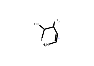 CC(/C=C\N)C(O)I